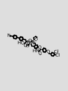 N#Cc1ccc(-c2ccc(CC(NC(=O)[C@@H]3Cc4cc5c(cc4CN3C(=O)[C@@H]3CCCO3)O[C@@H](c3ccc(OCc4ccc(Cl)c(Cl)c4)cc3)C(=O)N5)C(=O)O)cc2)cc1